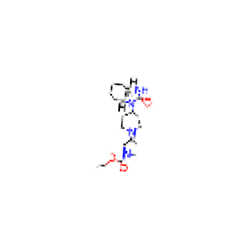 CCOC(=O)N1CC[C@H](N2CCC(N3C(=O)N[C@H]4CCCC[C@@H]43)CC2)C1